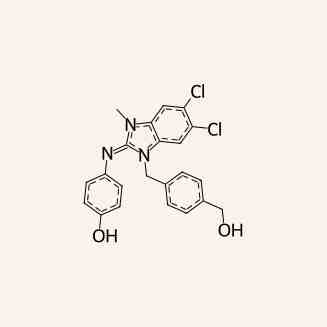 Cn1/c(=N/c2ccc(O)cc2)n(Cc2ccc(CO)cc2)c2cc(Cl)c(Cl)cc21